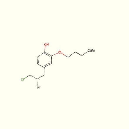 COCCCOc1cc(C[C@@H](CCl)C(C)C)ccc1O